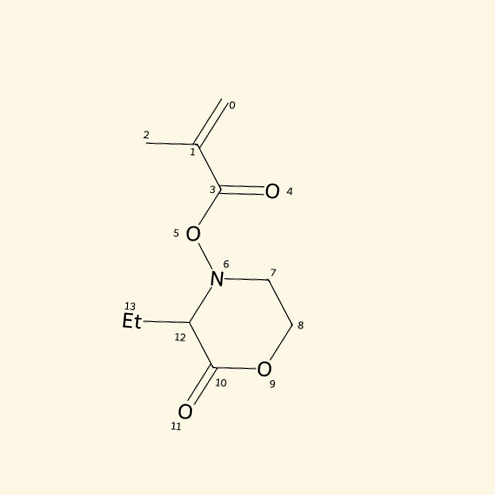 C=C(C)C(=O)ON1CCOC(=O)C1CC